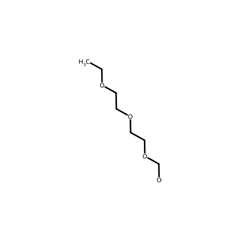 CCOCCOCCOC[O]